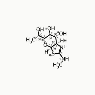 CNC1=N[C@@H]2[C@@H](O)[C@H](O)[C@@H]([C@H](C)O)O[C@@H]2S1